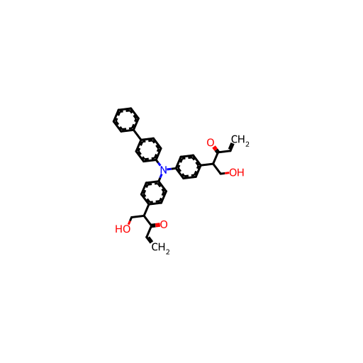 C=CC(=O)C(CO)c1ccc(N(c2ccc(-c3ccccc3)cc2)c2ccc(C(CO)C(=O)C=C)cc2)cc1